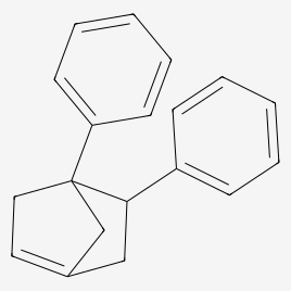 C1=C2CC(c3ccccc3)C(c3ccccc3)(C1)C2